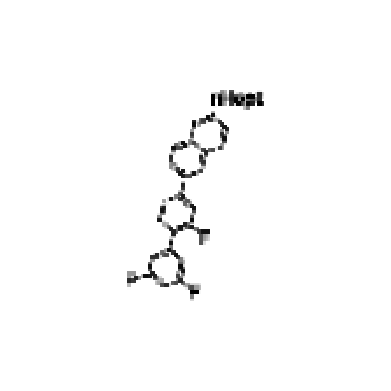 CCCCCCCc1ccc2cc(-c3ccc(-c4cc(F)cc(F)c4)c(F)c3)ccc2c1